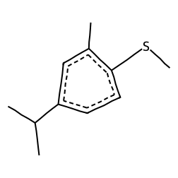 CSc1ccc(C(C)C)cc1C